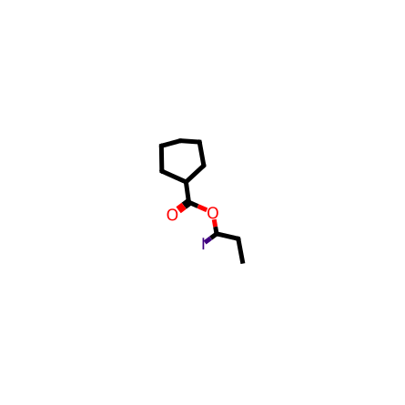 CCC(I)OC(=O)C1CCCCC1